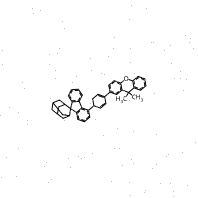 CC1(C)c2ccccc2Oc2ccc(C3=CCC(c4cccc5c4-c4ccccc4C54C5CC6CC(C5)CC4C6)C=C3)cc21